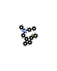 c1ccc(-c2ccc(-c3nc(-c4ccccc4)nc(-c4cccc(-c5ccc6c(c5)c5ccccc5c5cccc(-c7ccc8sc9ccccc9c8c7)c56)c4)n3)cc2)cc1